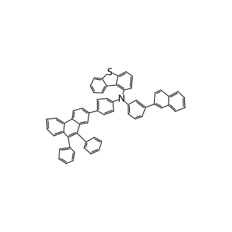 c1ccc(-c2c(-c3ccccc3)c3cc(-c4ccc(N(c5cccc(-c6ccc7ccccc7c6)c5)c5cccc6sc7ccccc7c56)cc4)ccc3c3ccccc23)cc1